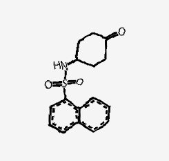 O=C1CCC(NS(=O)(=O)c2cccc3ccccc23)CC1